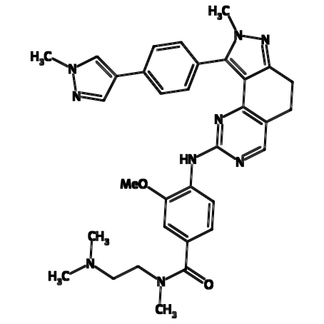 COc1cc(C(=O)N(C)CCN(C)C)ccc1Nc1ncc2c(n1)-c1c(nn(C)c1-c1ccc(-c3cnn(C)c3)cc1)CC2